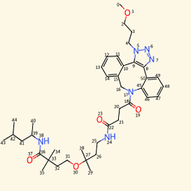 COCCCn1nnc2c1-c1ccccc1CN(C(=O)CCC(=O)NCCC(C)(C)OCCC(C)(C)C(=O)NC(C)CC(C)C)c1ccccc1-2